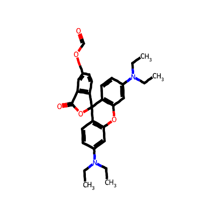 CCN(CC)c1ccc2c(c1)Oc1cc(N(CC)CC)ccc1C21OC(=O)c2cc(OC=O)ccc21